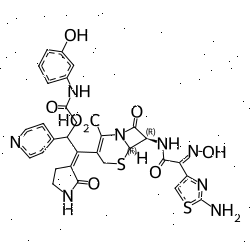 Nc1nc(C(=NO)C(=O)N[C@@H]2C(=O)N3C(C(=O)O)=C(C(=C4CCNC4=O)C(CC(=O)Nc4cccc(O)c4)c4ccncc4)CS[C@H]23)cs1